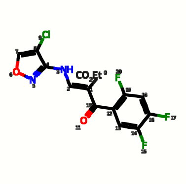 CCOC(=O)/C(=C\Nc1nocc1Cl)C(=O)c1cc(F)c(F)cc1F